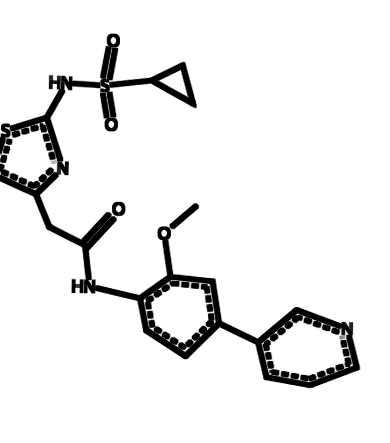 COc1cc(-c2cccnc2)ccc1NC(=O)Cc1csc(NS(=O)(=O)C2CC2)n1